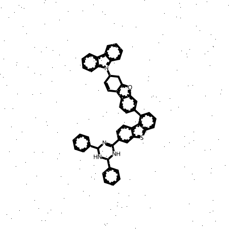 C1=CC(n2c3ccccc3c3ccccc32)Cc2oc3cc(-c4cccc5sc6cc(C7=NC(c8ccccc8)NC(c8ccccc8)N7)ccc6c45)ccc3c21